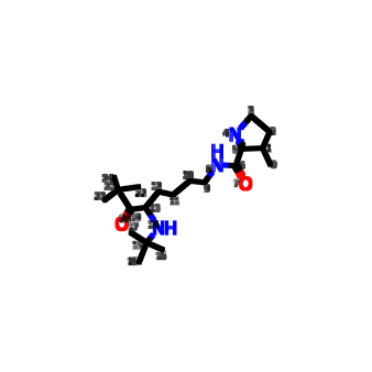 CC1CCN=C1C(=O)NCCCCC(NC(C)(C)C)C(=O)C(C)(C)C